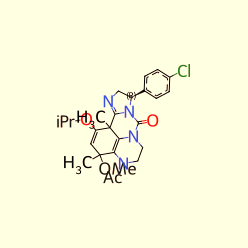 COC1(C)C=C(OC(C)C)C2(C)C3=NC[C@@H](c4ccc(Cl)cc4)N3C(=O)N3CCN(C(C)=O)C1=C32